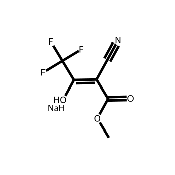 COC(=O)C(C#N)=C(O)C(F)(F)F.[NaH]